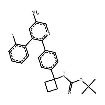 CC(C)(C)OC(=O)NC1(c2ccc(-c3ncc(N)cc3-c3ccccc3F)cc2)CCC1